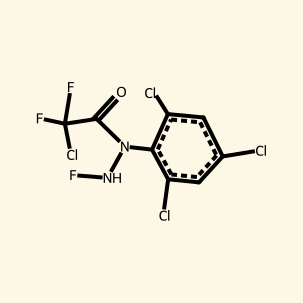 O=C(N(NF)c1c(Cl)cc(Cl)cc1Cl)C(F)(F)Cl